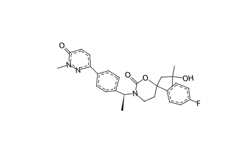 C[C@@H](c1ccc(-c2ccc(=O)n(C)n2)cc1)N1CCC(CC(C)(C)O)(c2ccc(F)cc2)OC1=O